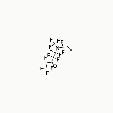 CC(F)(C(=O)C(F)(F)C(F)(F)N(C(F)(F)F)C(F)(F)CF)C(F)(F)F